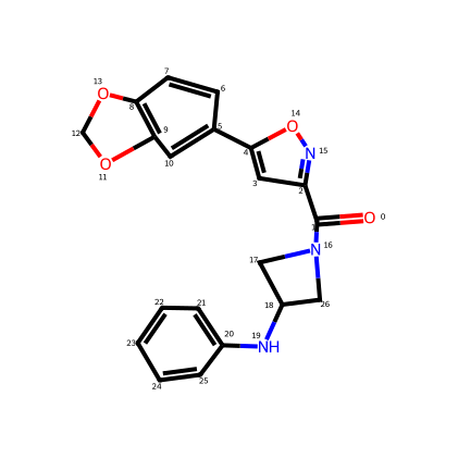 O=C(c1cc(-c2ccc3c(c2)OCO3)on1)N1CC(Nc2ccccc2)C1